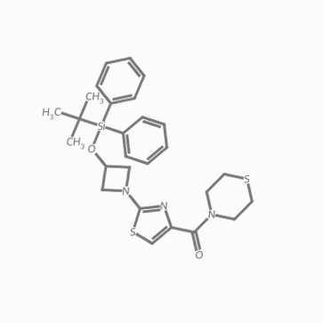 CC(C)(C)[Si](OC1CN(c2nc(C(=O)N3CCSCC3)cs2)C1)(c1ccccc1)c1ccccc1